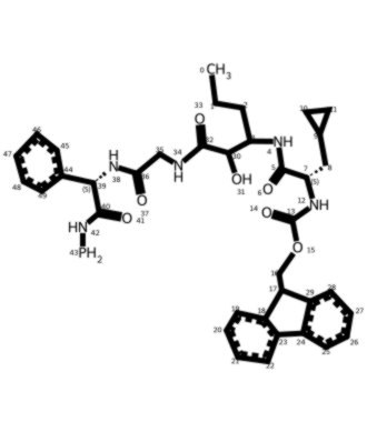 CCCC(NC(=O)[C@H](CC1CC1)NC(=O)OCC1c2ccccc2-c2ccccc21)C(O)C(=O)NCC(=O)N[C@H](C(=O)NP)c1ccccc1